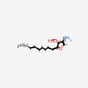 CCCCCCCCCCCCCCCCC1OCC(N)C1O